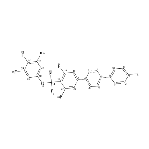 Cc1ccc(-c2ccc(-c3cc(F)c(C(F)(F)Oc4cc(F)c(F)c(F)c4)c(F)c3)cc2)cc1